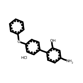 Cl.Nc1ccc(-c2ccc(Oc3ccccc3)cc2)c(O)c1